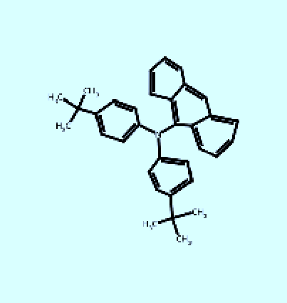 CC(C)(C)c1ccc(N(c2ccc(C(C)(C)C)cc2)c2c3ccccc3cc3ccccc23)cc1